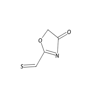 O=C1COC(C=S)=N1